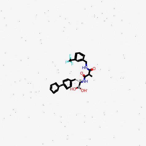 CC(C(=O)NCc1cccc(C(F)(F)F)c1)C(=O)N[C@@H](Cc1ccc(-c2ccccc2)cc1)B(O)O